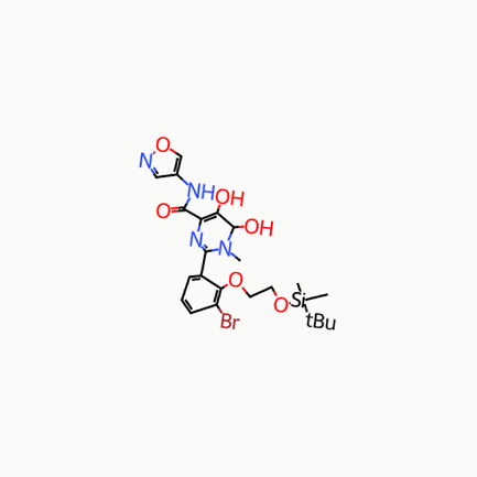 CN1C(c2cccc(Br)c2OCCO[Si](C)(C)C(C)(C)C)=NC(C(=O)Nc2cnoc2)=C(O)C1O